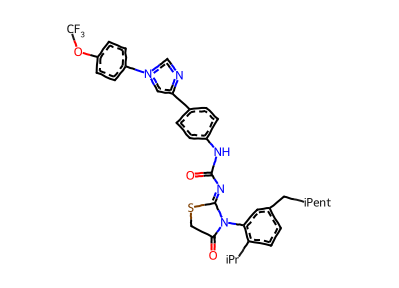 CCCC(C)Cc1ccc(C(C)C)c(N2C(=O)CS/C2=N\C(=O)Nc2ccc(-c3cn(-c4ccc(OC(F)(F)F)cc4)cn3)cc2)c1